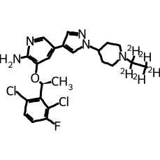 [2H]C([2H])([2H])C([2H])([2H])N1CCC(n2cc(-c3cnc(N)c(O[C@@H](C)c4c(Cl)ccc(F)c4Cl)c3)cn2)CC1